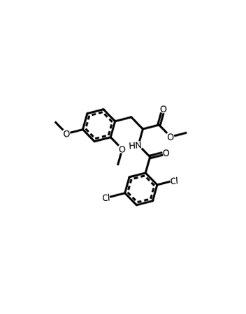 COC(=O)C(Cc1ccc(OC)cc1OC)NC(=O)c1cc(Cl)ccc1Cl